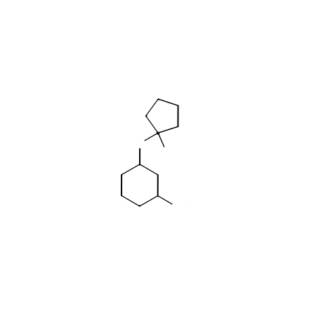 CCCC1CCCC(OC2(C)CCCC2)C1